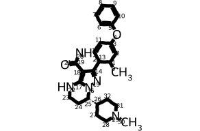 CC1C=C(Oc2ccccc2)C=CC1c1nn2c(c1C(N)=O)NCC[C@H]2C1CCN(C)CC1